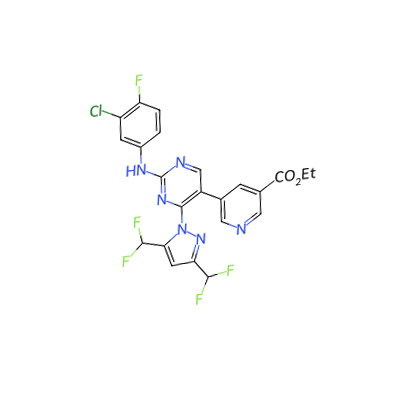 CCOC(=O)c1cncc(-c2cnc(Nc3ccc(F)c(Cl)c3)nc2-n2nc(C(F)F)cc2C(F)F)c1